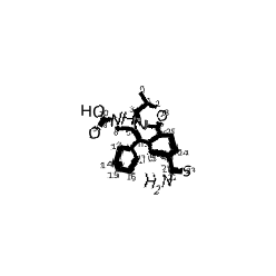 CC(C)Cn1c(CNC(=O)O)c(-c2ccccc2)c2cc(C(N)=S)ccc2c1=O